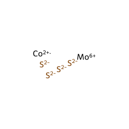 [Co+2].[Mo+6].[S-2].[S-2].[S-2].[S-2]